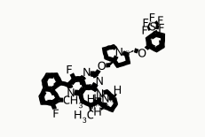 Cc1c(F)ccc2cccc(-c3nc4c5c(nc(OC[C@@]67CCCN6[C@H](COc6cccc(S(F)(F)(F)(F)F)c6)CC7)nc5c3F)N3C[C@@H]5CC[C@@H](N5)[C@@H]3[C@@H](C)C4)c12